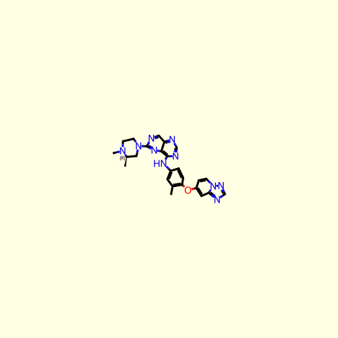 Cc1cc(Nc2ncnc3cnc(N4CCN(C)[C@H](C)C4)nc23)ccc1Oc1ccn2ncnc2c1